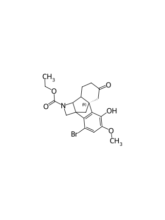 CCOC(=O)N1CC23C[C@]4(CC(=O)CCC4C12)c1c(O)c(OC)cc(Br)c13